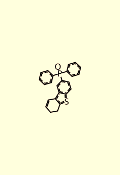 O=P(c1ccccc1)(c1ccccc1)c1ccc2sc3c(c2c1)C=CCC3